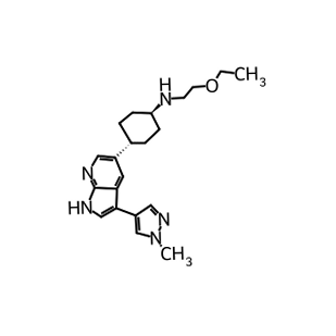 CCOCCN[C@H]1CC[C@H](c2cnc3[nH]cc(-c4cnn(C)c4)c3c2)CC1